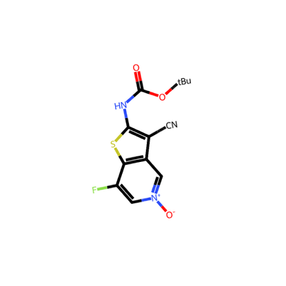 CC(C)(C)OC(=O)Nc1sc2c(F)c[n+]([O-])cc2c1C#N